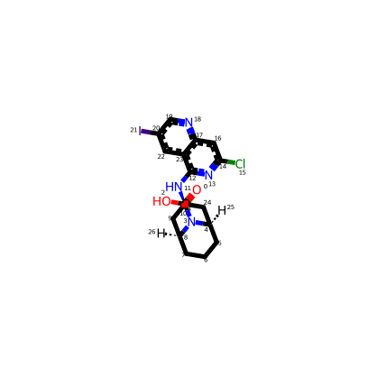 O=C(O)N1[C@@H]2CCC[C@H]1C[C@@H](Nc1nc(Cl)cc3ncc(I)cc13)C2